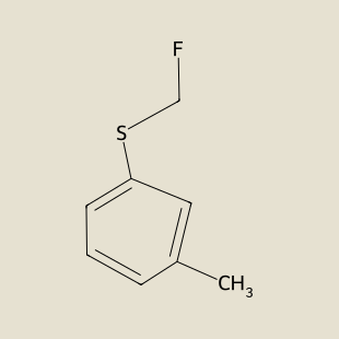 Cc1cccc(SCF)c1